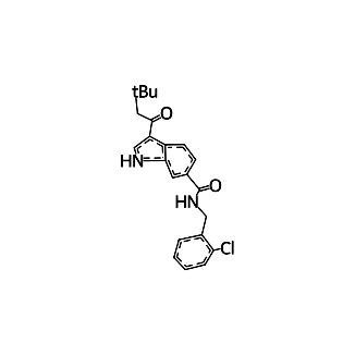 CC(C)(C)CC(=O)c1c[nH]c2cc(C(=O)NCc3ccccc3Cl)ccc12